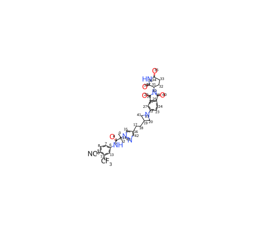 CC(C)(C(=O)Nc1ccc(C#N)c(C(F)(F)F)c1)n1cc(CCC2CN(c3ccc4c(c3)C(=O)N(C3CCC(=O)NC3=O)C4=O)C2)cn1